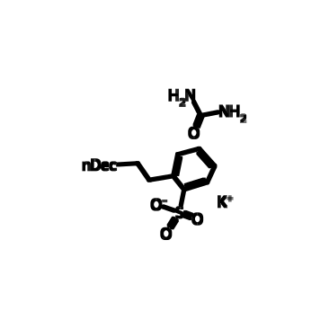 CCCCCCCCCCCCc1ccccc1S(=O)(=O)[O-].NC(N)=O.[K+]